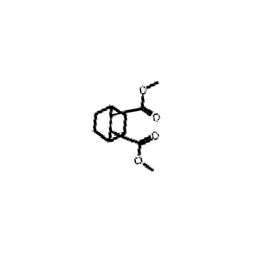 COC(=O)C1C2CCC(CC2)C1C(=O)OC